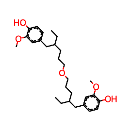 CCC(CCCOCCCC(CC)Cc1ccc(O)c(OC)c1)Cc1ccc(O)c(OC)c1